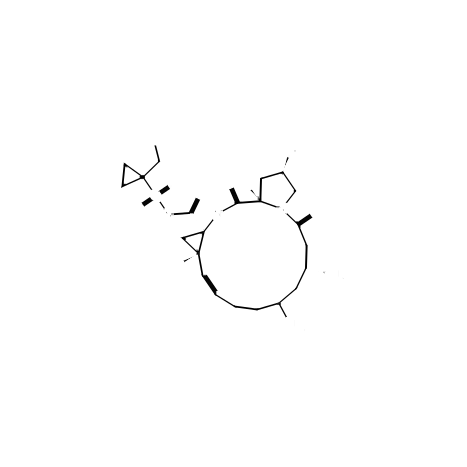 CC1CC/C=C\[C@@H]2C[C@@]2(C(=O)NS(=O)(=O)C2(CF)CC2)NC(=O)[C@@H]2C[C@@H](O)CN2C(=O)C[C@H](C)C1